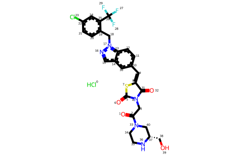 Cl.O=C(CN1C(=O)SC(=Cc2ccc3c(cnn3Cc3ccc(Cl)cc3C(F)(F)F)c2)C1=O)N1CCN[C@@H](CO)C1